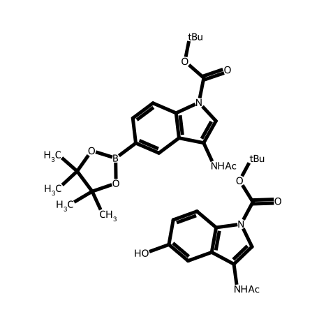 CC(=O)Nc1cn(C(=O)OC(C)(C)C)c2ccc(B3OC(C)(C)C(C)(C)O3)cc12.CC(=O)Nc1cn(C(=O)OC(C)(C)C)c2ccc(O)cc12